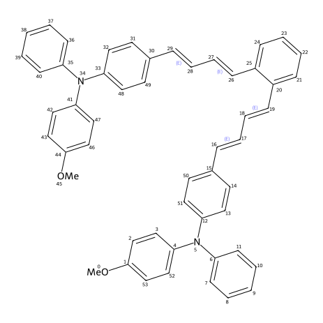 COc1ccc(N(c2ccccc2)c2ccc(/C=C/C=C/c3ccccc3/C=C/C=C/c3ccc(N(c4ccccc4)c4ccc(OC)cc4)cc3)cc2)cc1